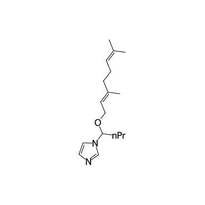 CCCC(OC/C=C(\C)CCC=C(C)C)n1ccnc1